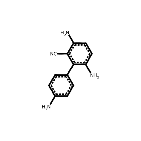 N#Cc1c(N)ccc(N)c1-c1ccc(N)cc1